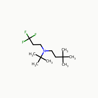 CC(C)(C)CCN(CCC(F)(F)F)C(C)(C)C